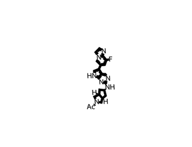 CC(=O)N1C[C@H]2C[C@H](Nc3ncc4c(-c5cc(F)c6nccn6c5)c[nH]c4n3)C[C@H]2C1